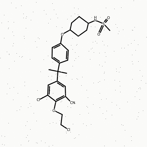 CC(C)(c1ccc(OC2CCC(NS(C)(=O)=O)CC2)cc1)c1cc(Cl)c(OCCCl)c(C#N)c1